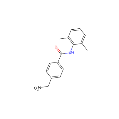 Cc1cccc(C)c1NC(=O)c1ccc(C[N+](=O)[O-])cc1